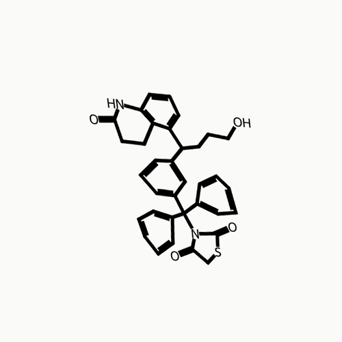 O=C1CCc2c(cccc2C(CCCO)c2cccc(C(c3ccccc3)(c3ccccc3)N3C(=O)CSC3=O)c2)N1